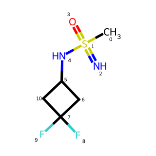 CS(=N)(=O)NC1CC(F)(F)C1